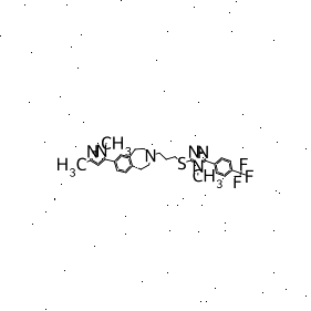 Cc1cc(-c2ccc3c(c2)CCN(CCCSc2nnc(-c4ccc(C(F)(F)F)cc4)n2C)CC3)n(C)n1